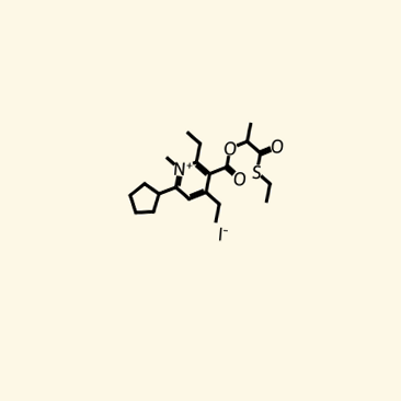 CCSC(=O)C(C)OC(=O)c1c(CC)cc(C2CCCC2)[n+](C)c1CC.[I-]